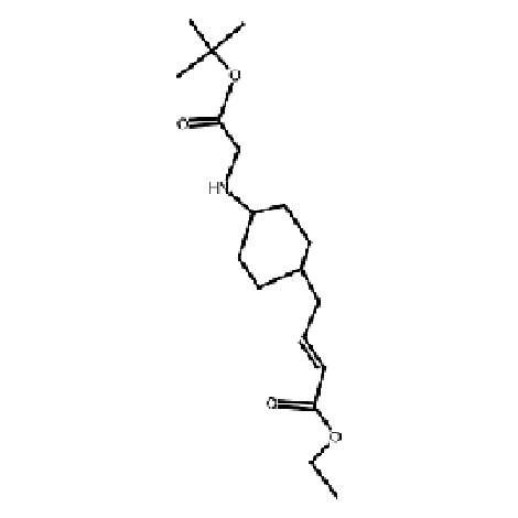 CCOC(=O)C=CCC1CCC(NCC(=O)OC(C)(C)C)CC1